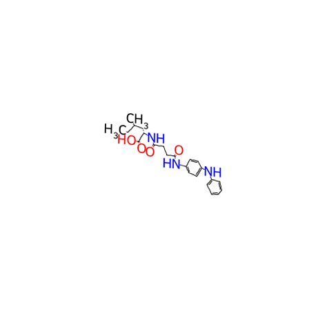 CCC(C)C[C@H](NC(=O)CCC(=O)Nc1ccc(Nc2ccccc2)cc1)C(=O)O